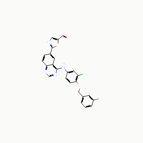 O=Cc1cnc(-c2ccc3ncnc(Nc4ccc(OCc5cccc(F)c5)c(Cl)c4)c3c2)s1